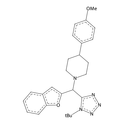 COc1ccc(C2CCN(C(c3cc4ccccc4o3)c3nnnn3C(C)(C)C)CC2)cc1